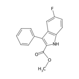 COC(=O)c1[nH]c2ccc(F)cc2c1-c1ccccc1